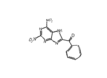 O=C(c1ccccc1)c1nc2nc([N+](=O)[O-])nc([N+](=O)[O-])c2[nH]1